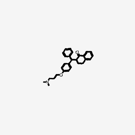 CN(C)CCCOc1ccc(C(c2ccccc2)C2CCc3ccccc3C2=O)cc1